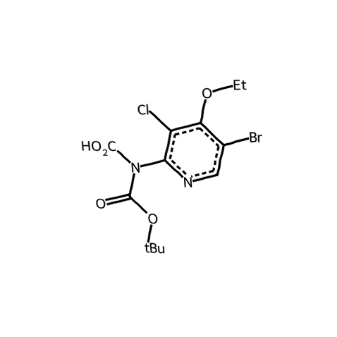 CCOc1c(Br)cnc(N(C(=O)O)C(=O)OC(C)(C)C)c1Cl